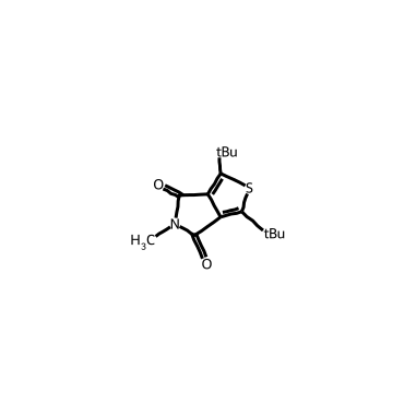 CN1C(=O)c2c(C(C)(C)C)sc(C(C)(C)C)c2C1=O